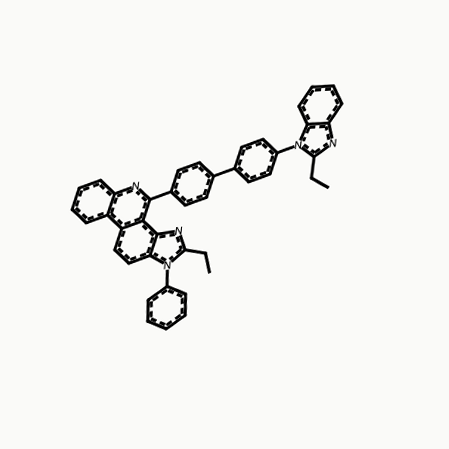 CCc1nc2ccccc2n1-c1ccc(-c2ccc(-c3nc4ccccc4c4ccc5c(nc(CC)n5-c5ccccc5)c34)cc2)cc1